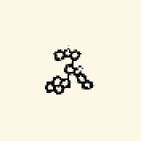 c1ccc2cc3c(cc2c1)oc1c(-c2cccc4sc5ccccc5c24)ccc(-c2ccc4ccc5cccc6ccc2c4c56)c13